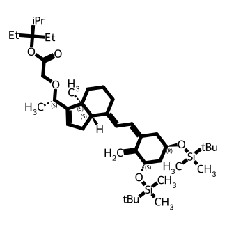 C=C1C(=CC=C2CCC[C@]3(C)C([C@H](C)OCC(=O)OC(CC)(CC)C(C)C)=CC[C@@H]23)C[C@@H](O[Si](C)(C)C(C)(C)C)C[C@@H]1O[Si](C)(C)C(C)(C)C